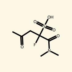 CC(=O)CC(F)(C(=O)N(C)C)S(=O)(=O)O